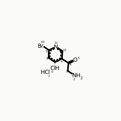 Cl.Cl.NCC(=O)c1ccc(Br)nc1